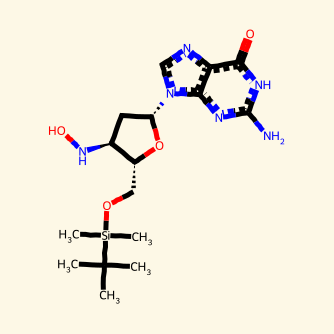 CC(C)(C)[Si](C)(C)OC[C@H]1O[C@@H](n2cnc3c(=O)[nH]c(N)nc32)C[C@@H]1NO